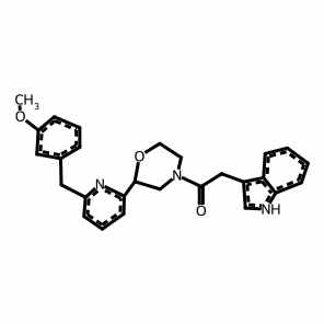 COc1cccc(Cc2cccc(C3CN(C(=O)Cc4c[nH]c5ccccc45)CCO3)n2)c1